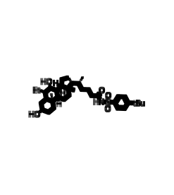 CC[C@@H]1C2C[C@H](O)CC[C@]2(C)[C@H]2CCC3(C)[C@@H]([C@H](C)CCCC(=O)NS(=O)(=O)c4ccc(C(C)(C)C)cc4)CC[C@H]3[C@@H]2[C@@H]1O